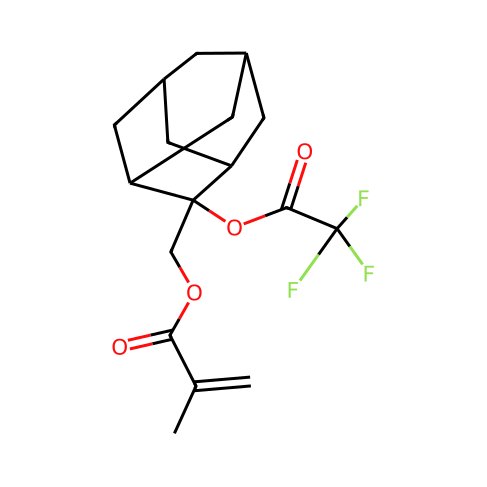 C=C(C)C(=O)OCC1(OC(=O)C(F)(F)F)C2CC3CC(C2)CC1C3